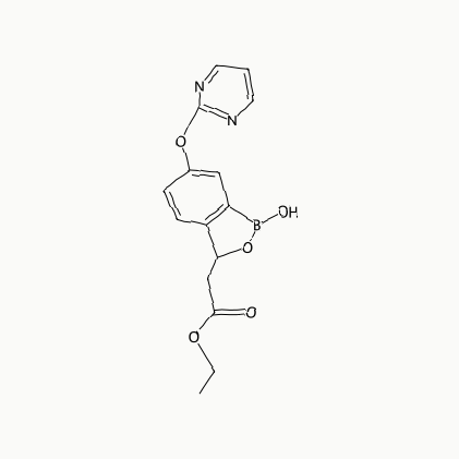 CCOC(=O)CC1OB(O)c2cc(Oc3ncccn3)ccc21